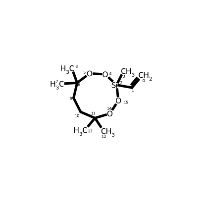 C=C[Si]1(C)OOC(C)(C)CCC(C)(C)OO1